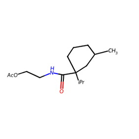 CC(=O)OCCNC(=O)C1(C(C)C)CCCC(C)C1